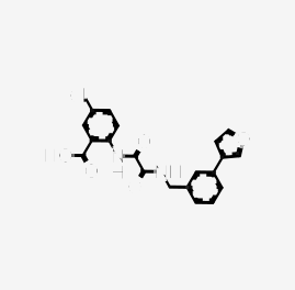 O=C(NCc1cccc(-c2ccoc2)c1)C(=O)Nc1ccc(Cl)cc1C(=O)O